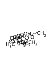 C=CCCC(=O)Cc1cc(C(C)C)c2c(c1O)C(=O)C1=C(O)[C@@]3(O)C(=O)C(C(C)=O)=C(C)C[C@@]3(C)C[C@@]1(C)C2